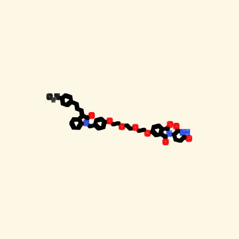 O=C1CCC(N2C(=O)c3ccc(OCCOCCOCCOc4ccc(CN5C(=O)/C(=C/C=C/c6ccc([N+](=O)[O-])cc6)c6ccccc65)cc4)cc3C2=O)C(=O)N1